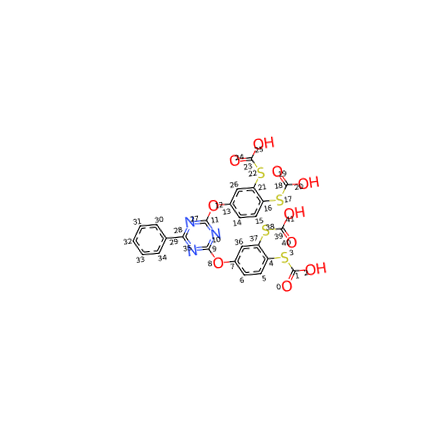 O=C(O)Sc1ccc(Oc2nc(Oc3ccc(SC(=O)O)c(SC(=O)O)c3)nc(-c3ccccc3)n2)cc1SC(=O)O